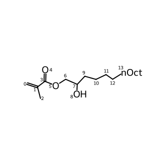 C=C(C)C(=O)OCC(O)CCCCCCCCCCCC